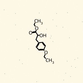 CCOC(=O)C(O)Cc1ccc(OCC)cc1